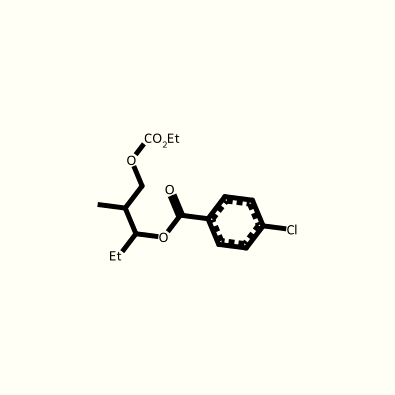 CCOC(=O)OCC(C)C(CC)OC(=O)c1ccc(Cl)cc1